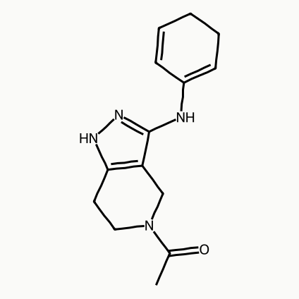 CC(=O)N1CCc2[nH]nc(NC3=CCCC=C3)c2C1